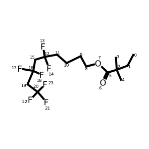 CCC(C)(C)C(=O)OCCCCC(F)(F)CC(F)(F)CC(F)(F)F